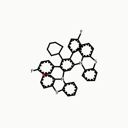 Fc1ccc(-c2c(N3c4ccccc4Sc4ccccc43)cc(N3c4ccccc4Sc4ccccc43)c(-c3ccc(F)cc3)c2C2CCCCC2)cc1